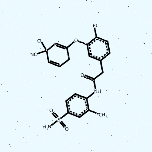 CCc1ccc(CC(=O)Nc2ccc(S(N)(=O)=O)cc2C)cc1OC1=CC(Cl)(C#N)C=CC1